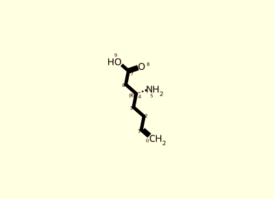 C=CCC[C@@H](N)CC(=O)O